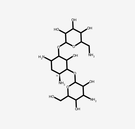 NCC1OC(OC2C(N)C[C@H](N)C(OC3OC(CO)C(O)C(N)C3O)C2O)C(O)C(O)C1O